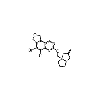 C=C1CN2CCC[C@]2(COc2ncc3c4c(c(Br)c(Cl)c3n2)COC4)C1